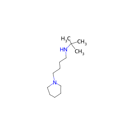 CC(C)(C)NCCCCN1CCCCC1